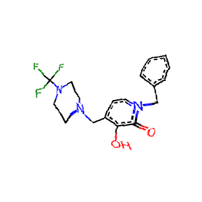 O=c1c(O)c(CN2CCN(C(F)(F)F)CC2)ccn1Cc1ccccc1